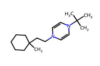 CC1(CCN2C=CN(C(C)(C)C)C=C2)CCCCC1